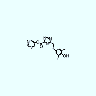 Cc1cc(CCc2ncnc(C(=O)Oc3cncnc3)n2)cc(C)c1O